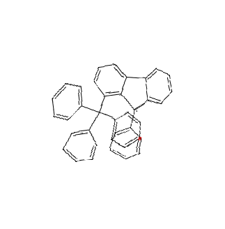 c1ccc([C]2c3ccccc3-c3cccc(C(c4ccccc4)(c4ccccc4)c4ccccc4)c32)cc1